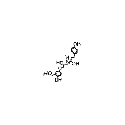 OCc1cc(OCC(O)CN[C@@H](O)CCc2ccc(O)cc2)ccc1O